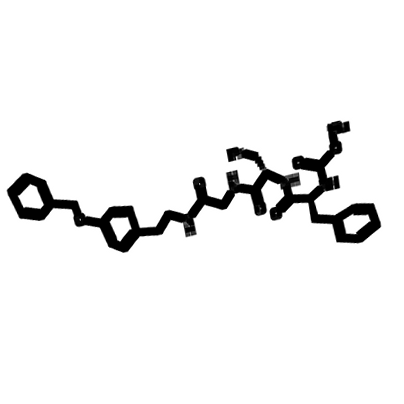 CC(C)C[C@H](NC(=O)[C@H](Cc1ccccc1)NC(=O)OC(C)(C)C)C(=O)NCC(=O)NCCc1ccc(OCc2ccccc2)cc1